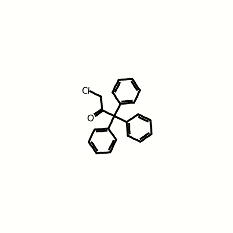 O=C(CCl)C(c1ccccc1)(c1ccccc1)c1ccccc1